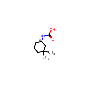 CC1(C)CCC[C@@H](NC(=O)O)C1